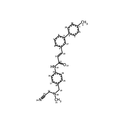 Cc1ccc(-c2cccc(/C=C/C(=O)Nc3ccc(CN(C)CC#N)cc3)c2)cc1